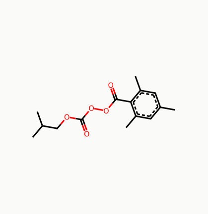 Cc1cc(C)c(C(=O)OOC(=O)OCC(C)C)c(C)c1